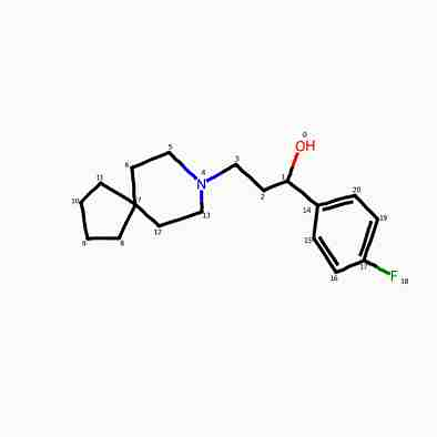 OC(CCN1CCC2(CCCC2)CC1)c1ccc(F)cc1